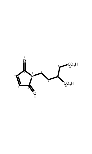 O=C(O)CC(CCN1C(=O)C=CC1=O)C(=O)O